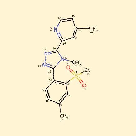 CCS(=O)(=O)c1cc(C(F)(F)F)ccc1-c1nnc(-c2cc(C(F)(F)F)ccn2)n1C